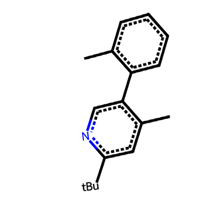 Cc1ccccc1-c1cnc(C(C)(C)C)cc1C